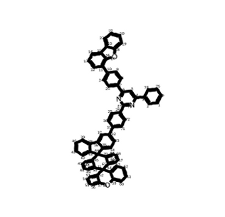 c1ccc(-c2cc(-c3ccc(-c4cccc5c4oc4ccccc45)cc3)nc(-c3ccc(-c4ccc5c(c4)-c4ccccc4C54c5ccccc5C5(c6ccccc6Oc6ccccc65)c5ccccc54)cc3)n2)cc1